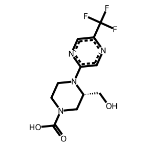 O=C(O)N1CCN(c2cnc(C(F)(F)F)cn2)[C@H](CO)C1